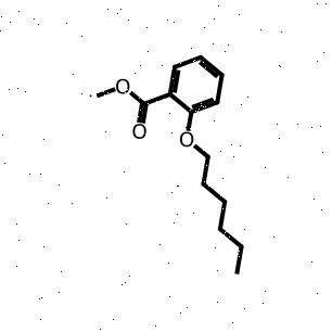 [CH2]OC(=O)c1ccccc1OCCCCCC